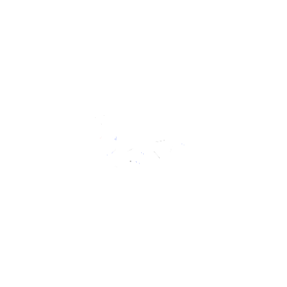 Nc1cc(Cl)c(-n2cc3c(NC(=O)C4CC4)nccc3n2)c(Cl)c1